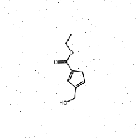 CCOC(=O)C1=CC(CO)=CC1